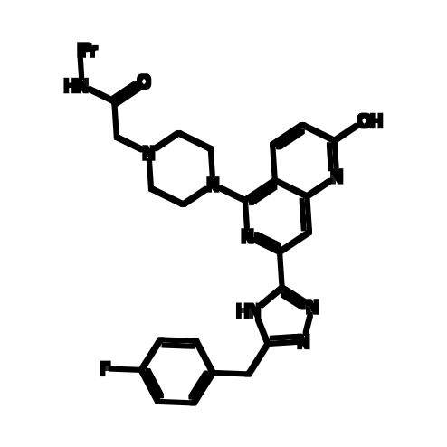 CC(C)NC(=O)CN1CCN(c2nc(-c3nnc(Cc4ccc(F)cc4)[nH]3)cc3nc(O)ccc23)CC1